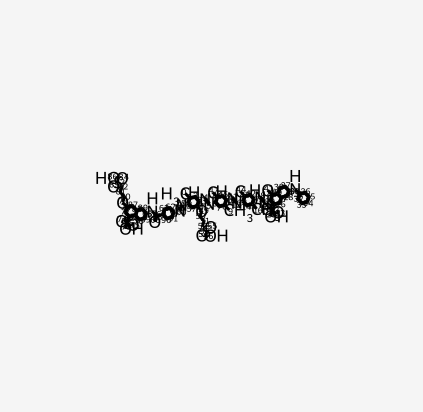 Cc1cc(N=Nc2cc(C)c(N=Nc3cc(C)c(N=Nc4c(S(=O)(=O)O)cc5cc(Nc6ccccc6)ccc5c4O)cc3C)cc2C)c(OCCCS(=O)(=O)O)cc1N=Nc1ccc(C(=O)Nc2ccc3c(S(=O)(=O)O)cc(OCCCS(=O)(=O)O)cc3c2)cc1